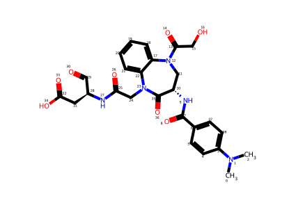 CN(C)c1ccc(C(=O)N[C@H]2CN(C(=O)CO)c3ccccc3N(CC(=O)N[C@H](C=O)CC(=O)O)C2=O)cc1